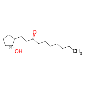 CCCCCCCC(=O)CCC1CCC[C@H]1O